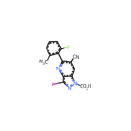 Cc1cccc(F)c1-c1nc2c(I)nn(C(=O)O)c2cc1C#N